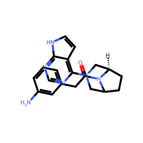 Nc1cccc(CC(=O)N2C3CC[C@@H]2CN(c2ncnc4[nH]ccc24)C3)c1